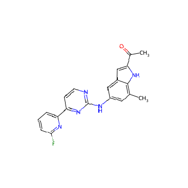 CC(=O)c1cc2cc(Nc3nccc(-c4cccc(F)n4)n3)cc(C)c2[nH]1